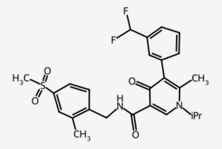 Cc1cc(S(C)(=O)=O)ccc1CNC(=O)c1cn(C(C)C)c(C)c(-c2cccc(C(F)F)c2)c1=O